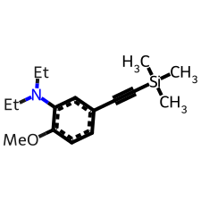 CCN(CC)c1cc(C#C[Si](C)(C)C)ccc1OC